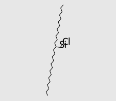 CCCCCCCCCCCCCCC(CCCCCCCCCCCC)C[Si](C)(C)Cl